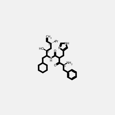 C=C[C@@H](C[C@H](O)C(CC1CCCCC1)NC(=O)C(Cc1c[nH]cn1)C(=O)[C@@H](N)Cc1ccccc1)C(C)C